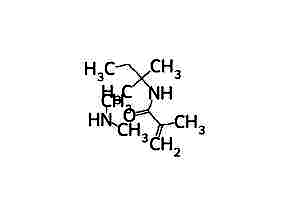 C=C(C)C(=O)NC(C)(C)CC.CNC